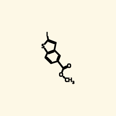 COC(=O)c1ccc2sc(I)cc2c1